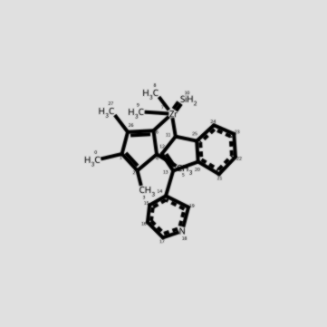 CC1=C(C)C(C)[C]([Zr]([CH3])([CH3])(=[SiH2])[CH]2C=C(c3cccnc3)c3ccccc32)=C1C